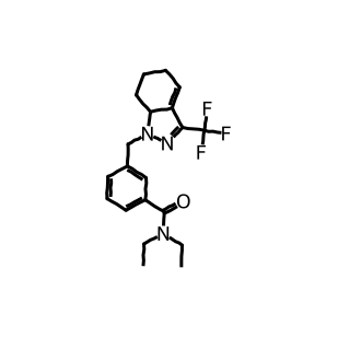 CCN(CC)C(=O)c1cccc(CN2N=C(C(F)(F)F)C3=CCCCC32)c1